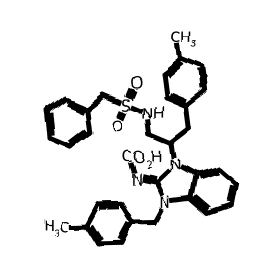 Cc1ccc(CC(CNS(=O)(=O)Cc2ccccc2)n2c(=NC(=O)O)n(Cc3ccc(C)cc3)c3ccccc32)cc1